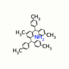 Cc1ccc(C(c2ccc(C)cc2)c2cc(C)cc(C(c3ccc(C)cc3)c3ccc(C)cc3)c2N)cc1